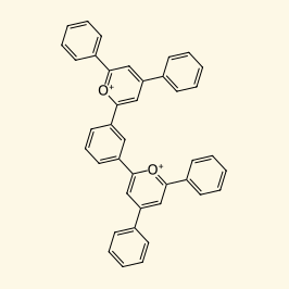 c1ccc(-c2cc(-c3ccccc3)[o+]c(-c3cccc(-c4cc(-c5ccccc5)cc(-c5ccccc5)[o+]4)c3)c2)cc1